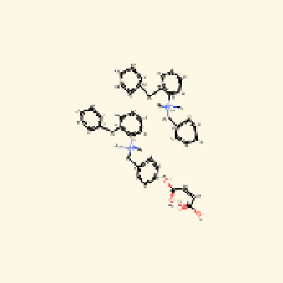 C[N+](C)(Cc1ccccc1)c1ccccc1Cc1ccccc1.C[N+](C)(Cc1ccccc1)c1ccccc1Cc1ccccc1.O=C([O-])/C=C\C(=O)[O-]